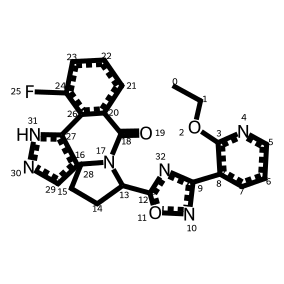 CCOc1ncccc1-c1noc(C2CCCN2C(=O)c2cccc(F)c2-c2ccn[nH]2)n1